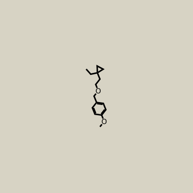 CCC1(CCOCc2ccc(OC)cc2)CC1